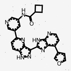 O=C(Nc1cncc(-c2ccc3[nH]nc(-c4nc5c(-c6ccoc6)ccnc5[nH]4)c3n2)c1)C1CCC1